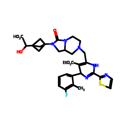 CCOC(=O)C1=C(CN2CCN3C(=O)N(C45CC(C(O)C(=O)O)(C4)C5)CC3C2)NC(c2nccs2)=NC1c1cccc(F)c1C